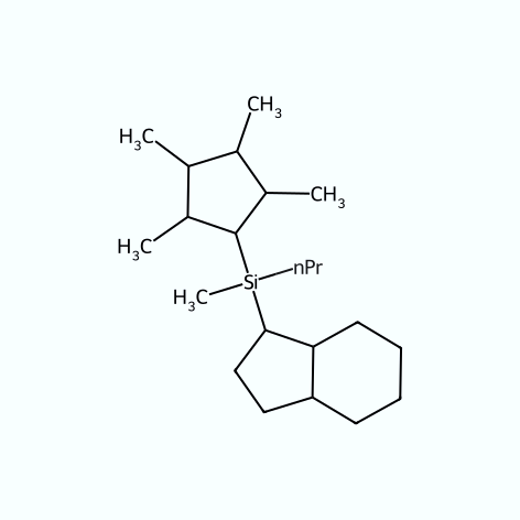 CCC[Si](C)(C1CCC2CCCCC21)C1C(C)C(C)C(C)C1C